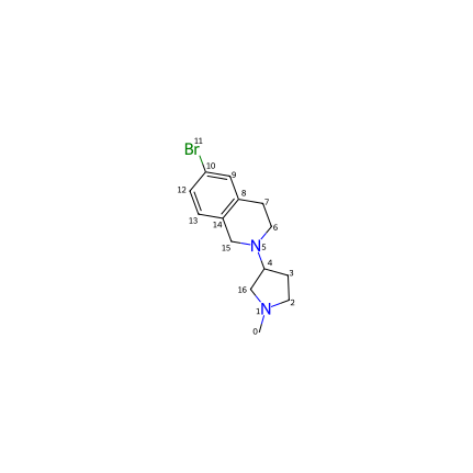 CN1CCC(N2CCc3cc(Br)ccc3C2)C1